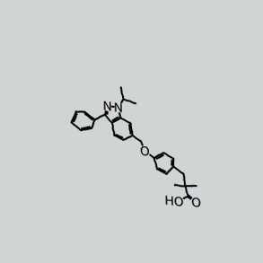 CC(C)n1nc(-c2ccccc2)c2ccc(COc3ccc(CC(C)(C)C(=O)O)cc3)cc21